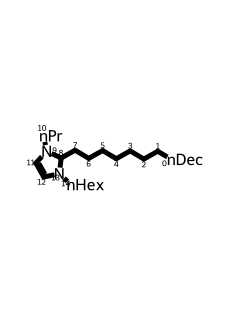 CCCCCCCCCCCCCCCCCC1N(CCC)C=CN1CCCCCC